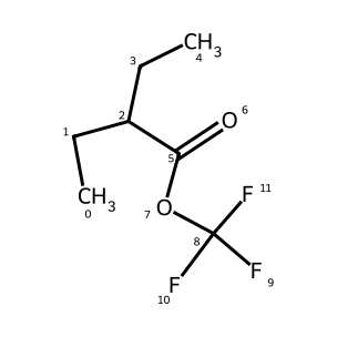 CCC(CC)C(=O)OC(F)(F)F